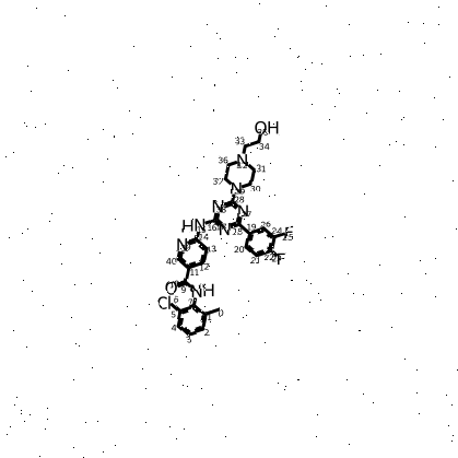 Cc1cccc(Cl)c1NC(=O)c1ccc(Nc2nc(-c3ccc(F)c(F)c3)nc(N3CCN(CCO)CC3)n2)nc1